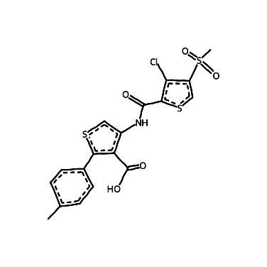 Cc1ccc(-c2scc(NC(=O)c3scc(S(C)(=O)=O)c3Cl)c2C(=O)O)cc1